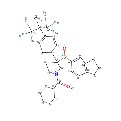 CC(c1ccc(C2([S+]([O-])c3ccc4c(c3)CCC4)CCN(C(=O)C3CCCCC3)C2)cc1)(C(F)(F)F)C(F)(F)F